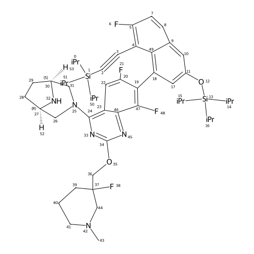 CC(C)[Si](C#Cc1c(F)ccc2cc(O[Si](C(C)C)(C(C)C)C(C)C)cc(-c3c(F)cc4c(N5C[C@H]6CC[C@@H](C5)N6)nc(OCC5(F)CCCN(C)C5)nc4c3F)c12)(C(C)C)C(C)C